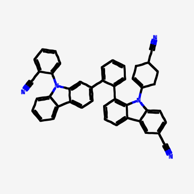 N#Cc1ccc2c(c1)c1cccc(-c3ccccc3-c3ccc4c5ccccc5n(-c5ccccc5C#N)c4c3)c1n2C1=CCC(C#N)CC1